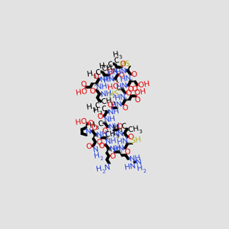 CC(C)C[C@H](N)C(=O)N[C@@H](CCC(=O)O)C(=O)N[C@H](C(=O)N[C@@H](CO)C(=O)N[C@H](C(=O)N[C@@H](CS)C(=O)N[C@@H](CC(=O)O)C(=O)N[C@@H](CS)C(=O)N[C@@H](CCC(=O)O)C(=O)NCC(=O)N[C@@H](C)C(=O)N[C@@H](C)C(=O)NCC(=O)N[C@H](C(=O)N[C@@H](CS)C(=O)N[C@@H](CCCNC(=N)N)C(=O)N[C@@H](CCCCN)C(=O)N[C@@H](C)C(=O)N[C@@H](CCC(N)=O)C(=O)N1CCC[C@H]1C(=O)O)C(C)C)C(C)C)C(C)C